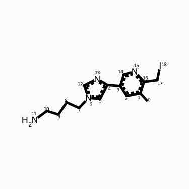 Cc1cc(-c2cn(CCCCN)cn2)cnc1CI